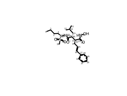 CCCCN(NC(=O)[C@H](CC(C)C)[C@H](CC=Cc1ccccc1)C(=O)NO)S(C)(=O)=O